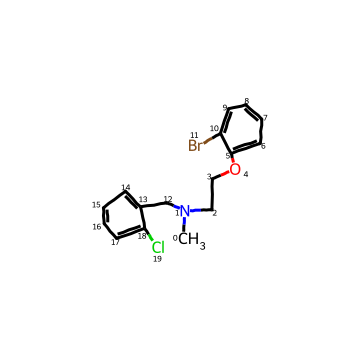 CN(CCOc1ccccc1Br)Cc1ccccc1Cl